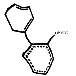 CCCCCc1ccccc1C1=CC=CCC1